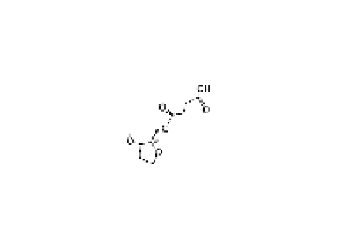 COC1CCO[C@@H]1COC(=O)CCC(=O)O